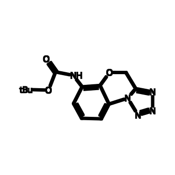 CC(C)(C)OC(=O)Nc1cccc2c1OCc1nnnn1-2